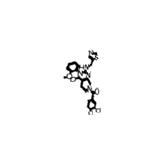 COc1ccccc1-n1c(NCc2cncs2)nc2c(c1=O)CCN(C(=O)c1ccc(Cl)c(Cl)c1)C2